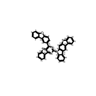 c1ccc2c(c1)oc1ccc(-c3nc(-n4c5ccccc5c5cc6c(cc54)sc4ccccc46)nc4c3sc3ccccc34)cc12